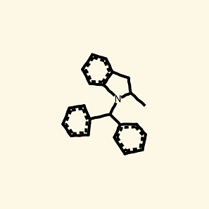 CC1Cc2ccccc2N1C(c1ccccc1)c1ccccc1